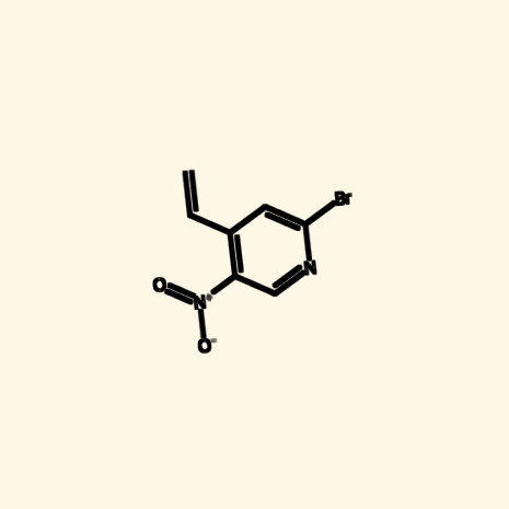 C=Cc1cc(Br)ncc1[N+](=O)[O-]